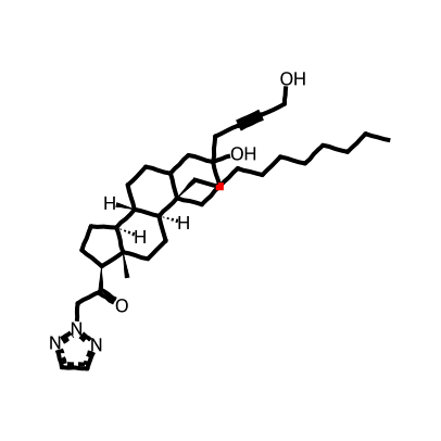 CCCCCCCCCC[C@]12CCC(O)(CC#CCO)CC1CC[C@@H]1[C@@H]2CC[C@]2(C)[C@@H](C(=O)Cn3nccn3)CC[C@@H]12